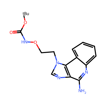 CC(C)(C)OC(=O)NOCCn1cnc2c(N)nc3ccccc3c21